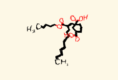 CCCCCCCCCC(=CC1(C(=O)O)CCCC(C(=O)O)C1)C(=O)OCCCCC